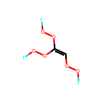 FOO[C]=C(OOF)OOF